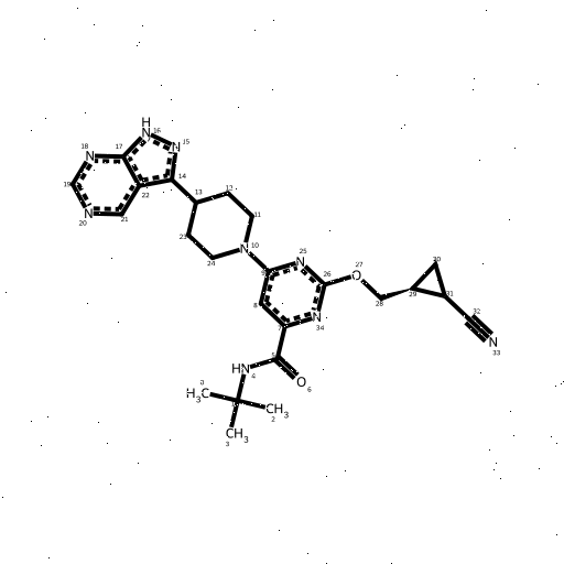 CC(C)(C)NC(=O)c1cc(N2CCC(c3n[nH]c4ncncc34)CC2)nc(OC[C@H]2CC2C#N)n1